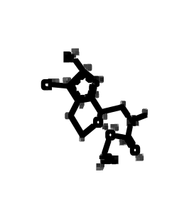 CN(CC1OCCc2c1sc(Br)c2Cl)C(=O)OC(C)(C)C